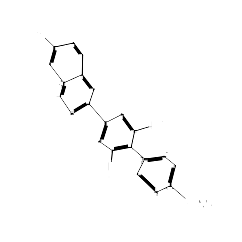 CCCc1ccc2cc(-c3cc(F)c(-c4ccc(OC)cc4)c(F)c3)ccc2c1